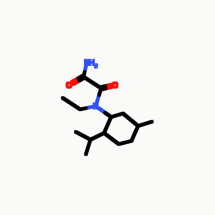 CCN(C(=O)C(N)=O)C1CC(C)CCC1C(C)C